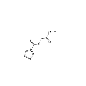 COC(=O)CSC(=S)n1ccnc1